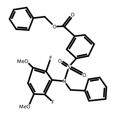 COc1cc(OC)c(F)c(N(Cc2ccccc2)S(=O)(=O)c2cccc(C(=O)OCc3ccccc3)c2)c1F